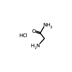 Cl.NCC(N)=O